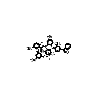 Cc1cc(-c2coc3ccccc23)cc(C)c1N1c2ccc(C(C)(C)C)cc2B2c3oc4ccc(C(C)(C)C)cc4c3N(c3c(C)cc(C(C)(C)C)cc3C)c3cccc1c32